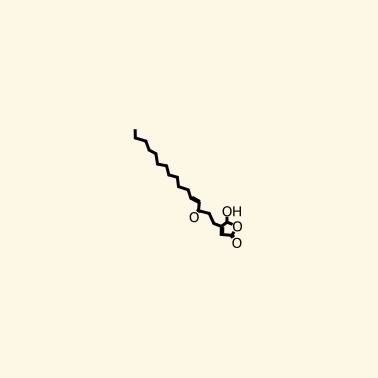 CCCCCCCCCCCC=CC(=O)CCC1=CC(=O)OC1O